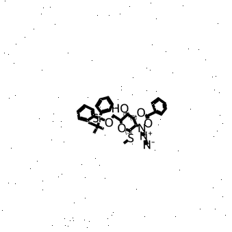 CS[C@@H]1OC(CO[Si](c2ccccc2)(c2ccccc2)C(C)(C)C)[C@@H](O)[C@H](OC(=O)c2ccccc2)C1N=[N+]=[N-]